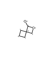 [O]C1OCC12CCC2